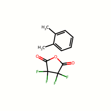 Cc1ccccc1C.O=C1OC(=O)C(F)(F)C1(F)F